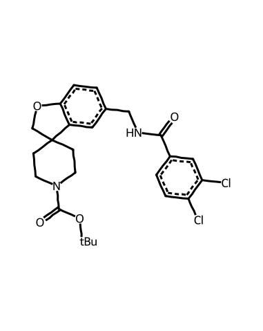 CC(C)(C)OC(=O)N1CCC2(CC1)COc1ccc(CNC(=O)c3ccc(Cl)c(Cl)c3)cc12